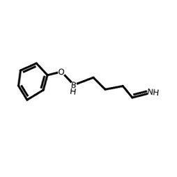 N=CCCCBOc1ccccc1